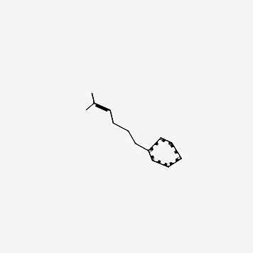 C/C(=C\CCCc1ccccc1)C(=O)O